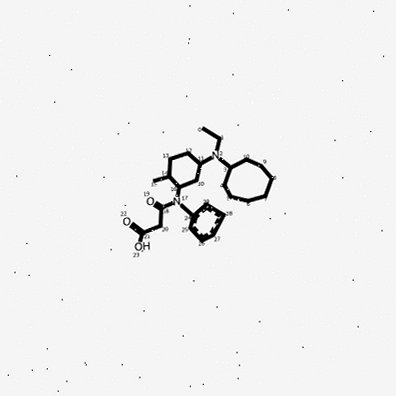 CCN(C1CCCCCCC1)C1CCC(C)C(N(C(=O)CC(=O)O)c2ccccc2)C1